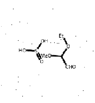 CCOC(C=O)OC.O=S(O)O